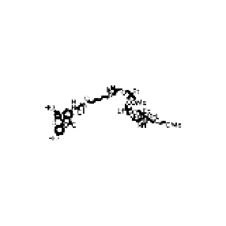 CCC(CC)(CO)COCC(CC)(COCc1cn(CCOCCOC)nn1)COCC(CC)(COC)COCc1cn(CCCCCC(=O)NCC(=O)Nc2ccc3c(c2)C(=O)OC32c3ccc(O)cc3Oc3cc(O)ccc32)nn1